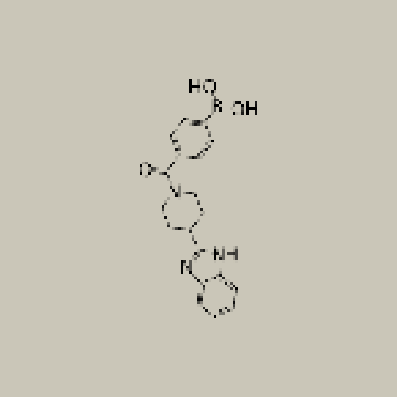 O=C(c1ccc(B(O)O)cc1)N1CCC(c2nc3ccccc3[nH]2)CC1